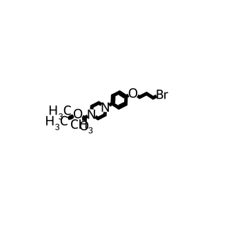 CC(C)(C)OC(=O)N1CCN(c2ccc(OCCCBr)cc2)CC1